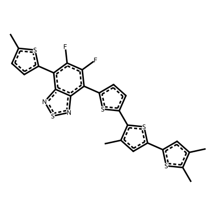 Cc1ccc(-c2c(F)c(F)c(-c3ccc(-c4sc(-c5cc(C)c(C)s5)cc4C)s3)c3nsnc23)s1